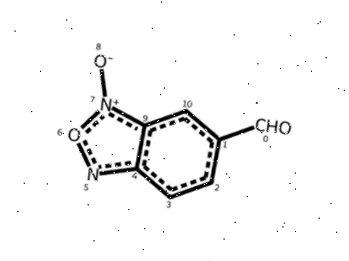 O=Cc1ccc2no[n+]([O-])c2c1